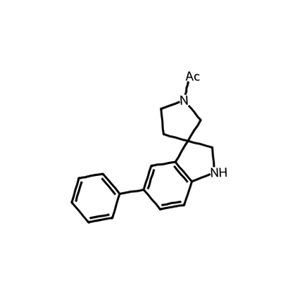 CC(=O)N1CCC2(CNc3ccc(-c4ccccc4)cc32)C1